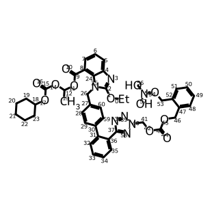 CCOc1nc2cccc(C(=O)OC(C)OC(=O)OC3CCCCC3)c2n1Cc1ccc(-c2ccccc2-c2nnn(COC(=O)OCc3ccccc3CON(O)O)n2)cc1